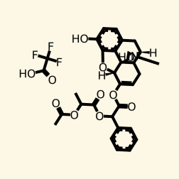 CC(=O)OC(C)C(=O)OC(C(=O)OC1=CC[C@@]2(O)[C@H]3Cc4ccc(O)c5c4[C@@]2(CCN3C)[C@H]1O5)c1ccccc1.O=C(O)C(F)(F)F